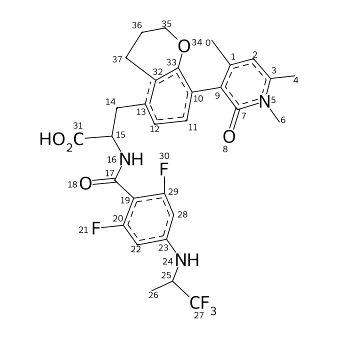 Cc1cc(C)n(C)c(=O)c1-c1ccc(CC(NC(=O)c2c(F)cc(NC(C)C(F)(F)F)cc2F)C(=O)O)c2c1OCCC2